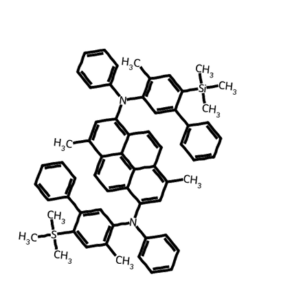 Cc1cc([Si](C)(C)C)c(-c2ccccc2)cc1N(c1ccccc1)c1cc(C)c2ccc3c(N(c4ccccc4)c4cc(-c5ccccc5)c(S(C)(C)C)cc4C)cc(C)c4ccc1c2c43